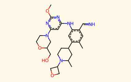 COc1nc(Nc2cc(C3CCN(C4COC4)C(C)C3)c(C)cc2C=N)cc(N2CCOC(CO)C2)n1